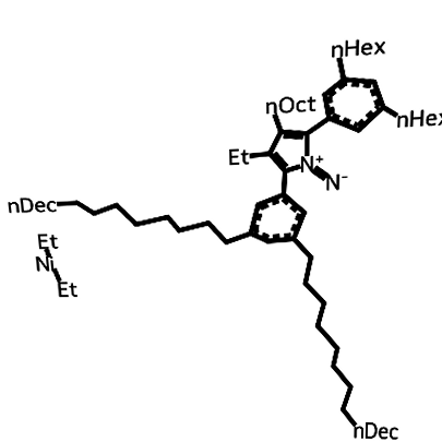 CCCCCCCCCCCCCCCCCCc1cc(CCCCCCCCCCCCCCCCCC)cc(C2=C(CC)C(CCCCCCCC)=C(c3cc(CCCCCC)cc(CCCCCC)c3)[N+]2=[N-])c1.C[CH2][Ni][CH2]C